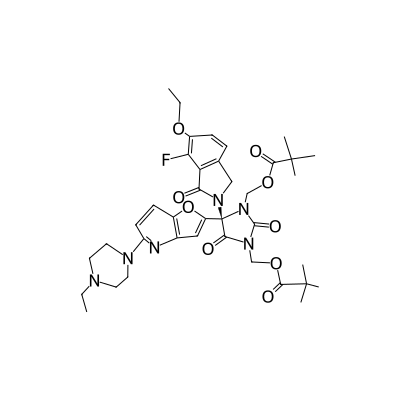 CCOc1ccc2c(c1F)C(=O)N([C@]1(c3cc4nc(N5CCN(CC)CC5)ccc4o3)C(=O)N(COC(=O)C(C)(C)C)C(=O)N1COC(=O)C(C)(C)C)C2